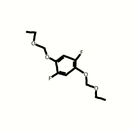 CCOCOc1cc(F)c(OCOCC)cc1F